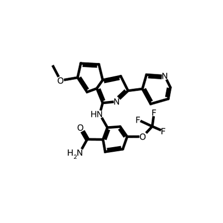 COc1ccc2cc(-c3cccnc3)nc(Nc3cc(OC(F)(F)F)ccc3C(N)=O)c2c1